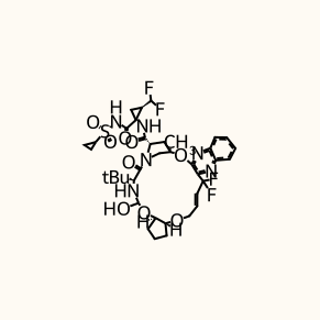 CC(C)(C)[C@@H]1NC(O)O[C@@H]2CCC[C@H]2OC/C=C/C(F)(F)c2nc3ccccc3nc2O[C@]2(C)C[C@@H](C(=O)N[C@]3(C(=O)NS(=O)(=O)C4CC4)C[C@H]3C(F)F)N(C2)C1=O